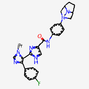 CC(C)n1cnc(-c2ccc(F)cc2)c1-c1nc(C(=O)Nc2ccc(N3CC4CCC(C3)N4C)cc2)c[nH]1